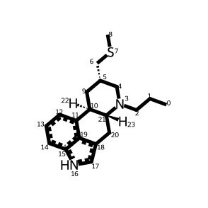 CCCN1C[C@@H](CSC)C[C@@H]2c3cccc4[nH]cc(c34)C[C@H]21